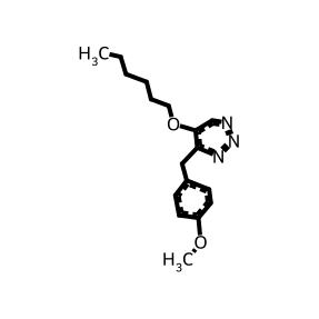 CCCCCCOc1cnnnc1Cc1ccc(OC)cc1